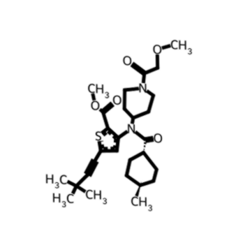 COCC(=O)N1CCC(N(c2cc(C#CC(C)(C)C)sc2C(=O)OC)C(=O)[C@H]2CC[C@H](C)CC2)CC1